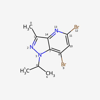 Cc1nn(C(C)C)c2c(Br)cc(Br)nc12